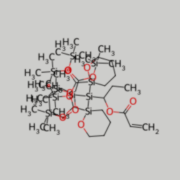 C=CC(=O)OC(CC)[Si]([Si]1(C(O[Si](C)(C)C)O[Si](C)(C)C)CCCCO1)([Si]1(C(O[Si](C)(C)C)O[Si](C)(C)C)CCCCO1)[Si]1(C(O[Si](C)(C)C)O[Si](C)(C)C)CCCCO1